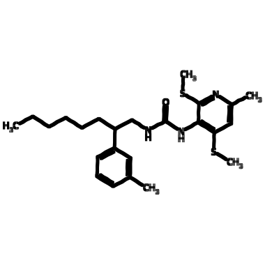 CCCCCCC(CNC(=O)Nc1c(SC)cc(C)nc1SC)c1cccc(C)c1